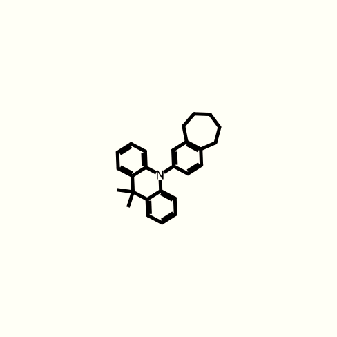 CC1(C)c2ccccc2N(c2ccc3c(c2)CCCCC3)c2ccccc21